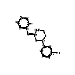 Clc1cccc(C2CCNC(=Cc3ccccc3)C2)c1